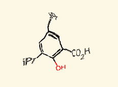 CC(C)c1cc(C(=O)O)c(O)c(C(C)C)c1